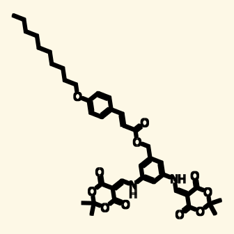 CCCCCCCCCCOc1ccc(/C=C/C(=O)OCc2cc(NC=C3C(=O)OC(C)(C)OC3=O)cc(NC=C3C(=O)OC(C)(C)OC3=O)c2)cc1